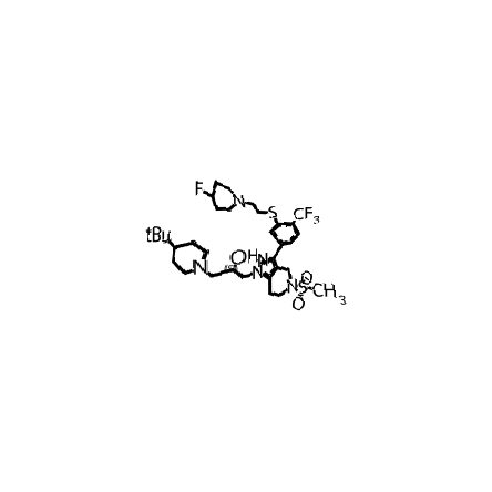 CC(C)(C)C1CCN(C[C@H](O)Cn2nc(-c3ccc(C(F)(F)F)c(SCCN4CCC(F)CC4)c3)c3c2CCN(S(C)(=O)=O)C3)CC1